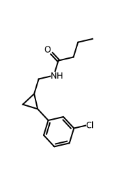 CCCC(=O)NCC1CC1c1cccc(Cl)c1